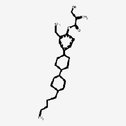 C=C(CO)C(=O)Oc1ccc(C2CCC(C3CCC(CCCCC)CC3)CC2)cc1CC